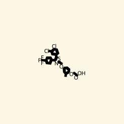 Cc1cc(OCc2nc(-c3ccc(C(F)(F)F)cc3)c(-c3ccc(Cl)c(Cl)c3)s2)ccc1OCC(=O)O